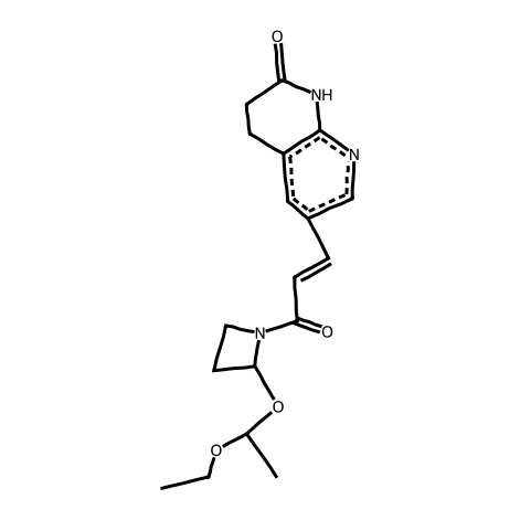 CCOC(C)OC1CCN1C(=O)C=Cc1cnc2c(c1)CCC(=O)N2